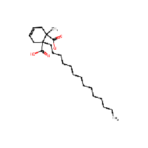 CCCCCCCCCCCCCCC1(C(=O)O)CC=CCC1(C)C(=O)O